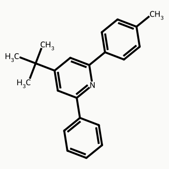 Cc1ccc(-c2cc(C(C)(C)C)cc(-c3ccccc3)n2)cc1